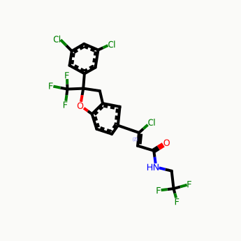 O=C(/C=C(\Cl)c1ccc2c(c1)CC(c1cc(Cl)cc(Cl)c1)(C(F)(F)F)O2)NCC(F)(F)F